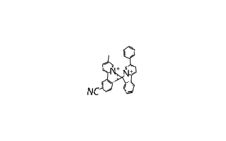 Cc1ccc2[n+](c1)C1C(c3ccc(C#N)cc3-2)C12c1ccccc1-c1ccc(-c3ccccc3)c[n+]12